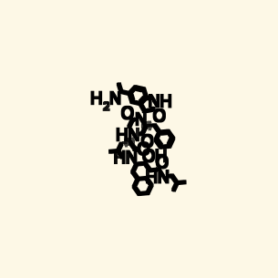 CC(=O)N(C1C(=O)Nc2ccc(C(C)N)cc21)[C@@H](Cc1ccccc1)C(=O)N[C@@H](CC(C)C)C(=O)NC(CC1CCCCC1)C(O)CC(=O)NCC(C)C